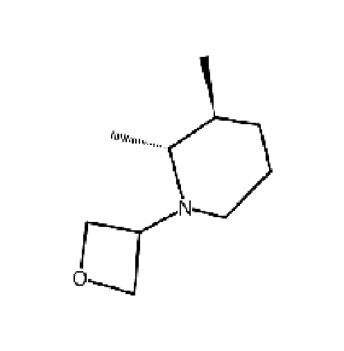 C[C@@H]1[C@@H](C)CCCN1C1COC1